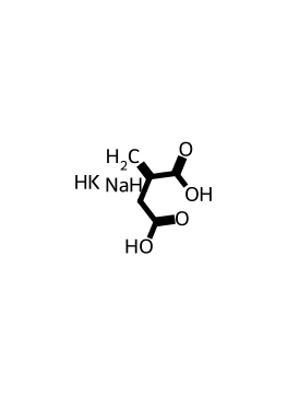 C=C(CC(=O)O)C(=O)O.[KH].[NaH]